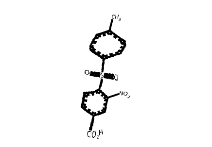 Cc1ccc(S(=O)(=O)c2ccc(C(=O)O)cc2[N+](=O)[O-])cc1